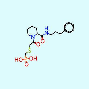 O=C(NCCCc1ccccc1)C1CCCCN1C(=O)CSCP(=O)(O)O